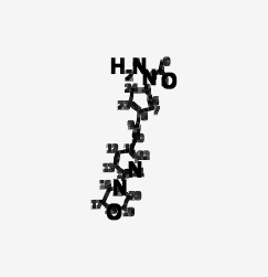 CC(=O)N(N)c1ccc(C#Cc2ccc(N3CCOCC3)nc2)cc1